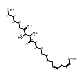 CCCCC/C=C\C/C=C\CCCCCCCC(=O)C(N)C(O)C(=O)CCCCCCCCCCCCCCC